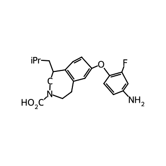 CC(C)CC1CN(C(=O)O)CCc2cc(Oc3ccc(N)cc3F)ccc21